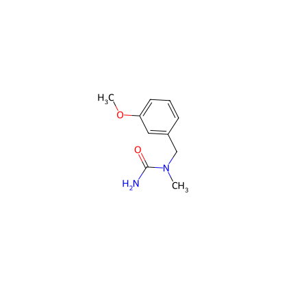 COc1cccc(CN(C)C(N)=O)c1